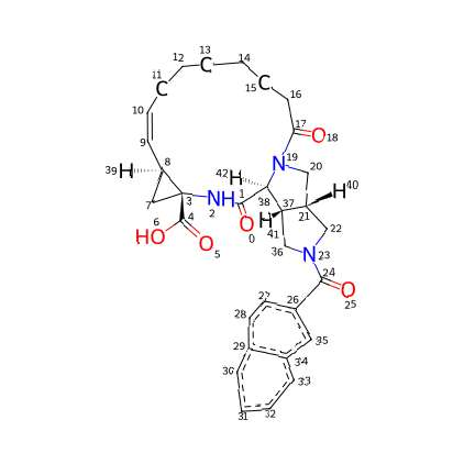 O=C1N[C@]2(C(=O)O)C[C@H]2/C=C\CCCCCCC(=O)N2C[C@@H]3CN(C(=O)c4ccc5ccccc5c4)C[C@@H]3[C@@H]12